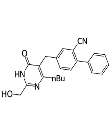 CCCCc1nc(CO)[nH]c(=O)c1Cc1ccc(-c2ccccc2)c(C#N)c1